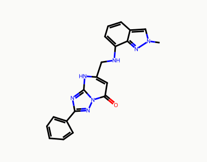 Cn1cc2cccc(NCc3cc(=O)n4nc(-c5ccccc5)nc4[nH]3)c2n1